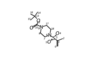 C=C(C)S(=O)(=O)N1CCN(C(=O)OC(C)(C)C)CC1